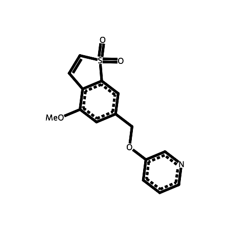 COc1cc(COc2cccnc2)cc2c1C=CS2(=O)=O